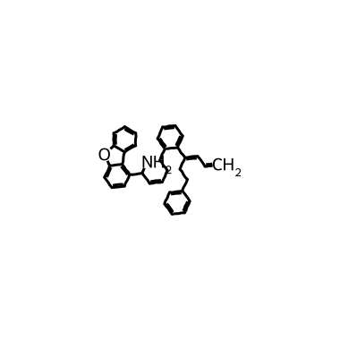 C=C/C=C(\CCc1ccccc1)c1ccccc1CC/C=C\C(N)c1cccc2oc3ccccc3c12